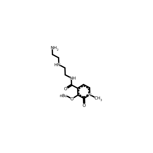 CCCCOc1c(C(=O)NCCNCCN)ccn(C)c1=O